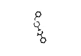 Cl.O=c1[nH]c(C2CCN(Cc3ccccc3)CC2)ncc1-c1ccccc1